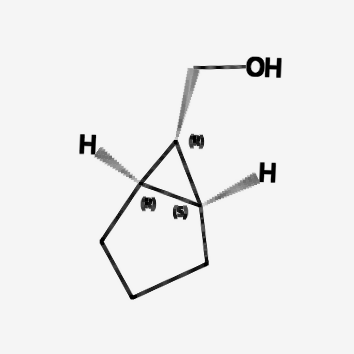 OC[C@@H]1[C@H]2CCC[C@@H]12